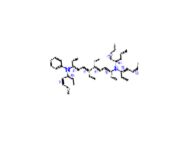 C=C/C=C\C(=C/C=C)N(/C(C=C)=C/C=C\C)/C(C=C)=C/C=C(C=C)/C(C=C)=C/C=C(\C=C)N(C(/C=C\C=C)=C/C)c1ccccc1